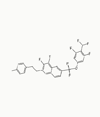 Cc1ccc(CCc2cc3ccc(C(F)(F)Oc4cc(F)c(C(F)F)c(F)c4)cc3c(F)c2F)cc1